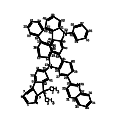 CC1(C)c2ccccc2-c2ccc(N(c3ccc(-c4ccccc4)cc3)c3cc(-c4ccc5ccccc5n4)ccc3-c3ccc4c5ccccc5n(-c5ccccc5)c4c3)cc21